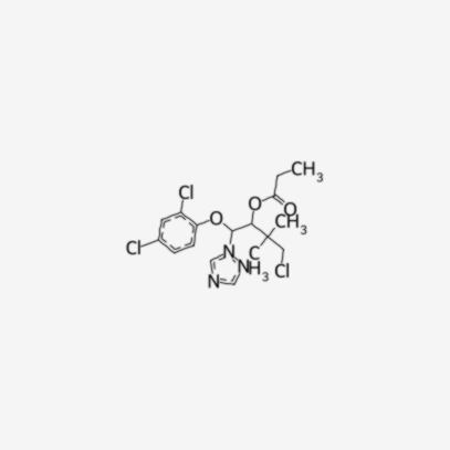 CCC(=O)OC(C(Oc1ccc(Cl)cc1Cl)n1cncn1)C(C)(C)CCl